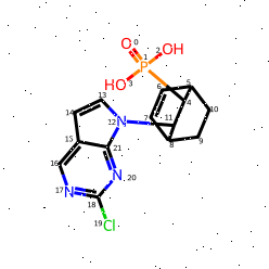 O=P(O)(O)C1C2C=CC(CC2)C1n1ccc2cnc(Cl)nc21